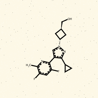 Cc1nc(-c2cn([C@H]3C[C@H](CO)C3)nc2C2CC2)c(F)cc1F